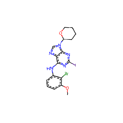 COc1cccc(Nc2nc(I)nc3c2ncn3C2CCCCO2)c1Br